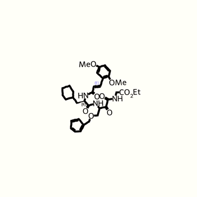 CCOC(=O)CNC(=O)C(=O)C(COCc1ccccc1)NC(=O)[C@@H](CC1CCCCC1)NC(=O)/C=C/c1cc(OC)ccc1OC